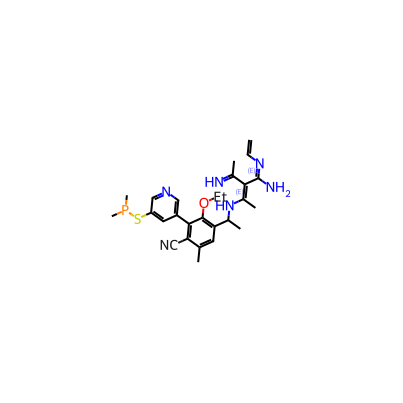 C=C/N=C(N)\C(C(C)=N)=C(/C)NC(C)c1cc(C)c(C#N)c(-c2cncc(SP(C)C)c2)c1OCC